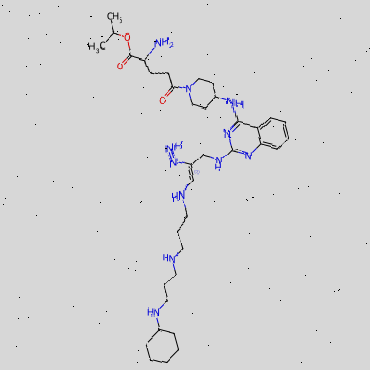 CC(C)OC(=O)C(N)CCC(=O)N1CCC(Nc2nc(NC/C(=C/NCCCNCCCNC3CCCCC3)N=N)nc3ccccc23)CC1